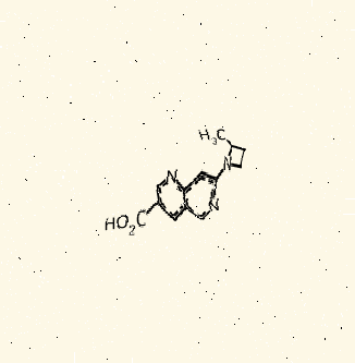 CC1CCN1c1cc2ncc(C(=O)O)cc2cn1